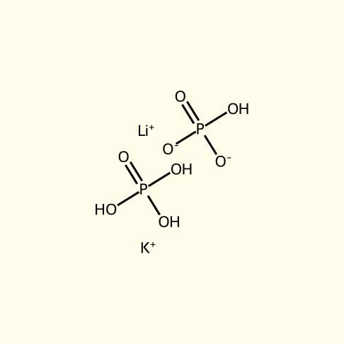 O=P(O)(O)O.O=P([O-])([O-])O.[K+].[Li+]